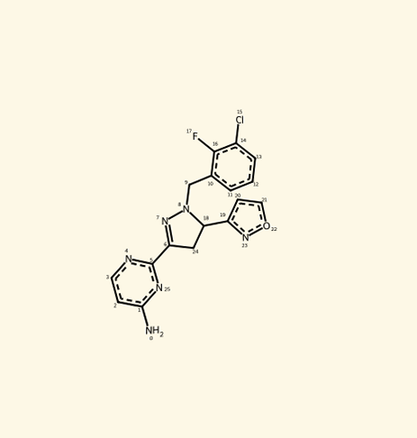 Nc1ccnc(C2=NN(Cc3cccc(Cl)c3F)C(c3ccon3)C2)n1